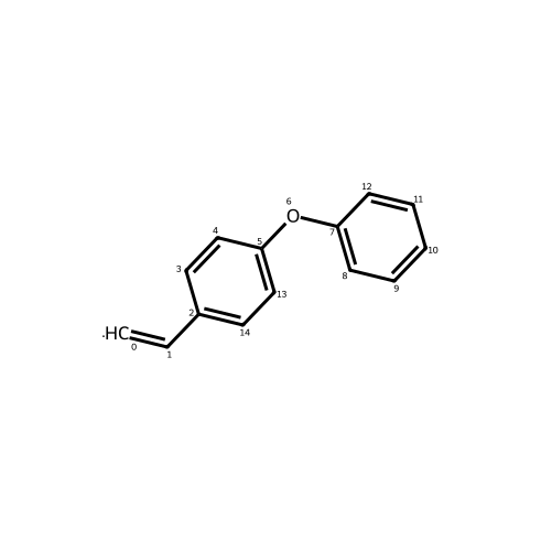 [CH]=Cc1ccc(Oc2ccccc2)cc1